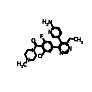 CCc1ncnc(-c2cc(F)c(C(=O)N3CCN(C)CC3)c(Cl)c2)c1-c1ccc(N)nc1